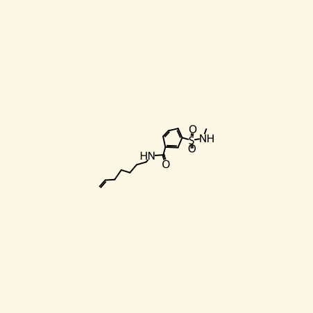 C=CCCCCCNC(=O)c1cccc(S(=O)(=O)NC)c1